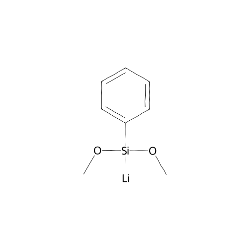 [Li][Si](OC)(OC)c1ccccc1